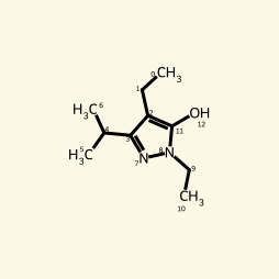 CCc1c(C(C)C)nn(CC)c1O